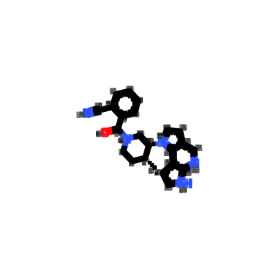 C[C@@H]1CCN(C(=O)c2ccccc2C#N)C[C@@H]1n1ccc2cnc3[nH]ccc3c21